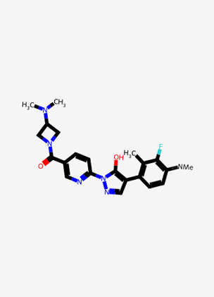 CNc1ccc(-c2cnn(-c3ccc(C(=O)N4CC(N(C)C)C4)cn3)c2O)c(C)c1F